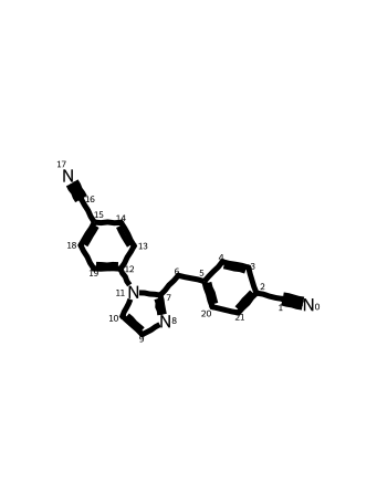 N#Cc1ccc(Cc2nccn2-c2ccc(C#N)cc2)cc1